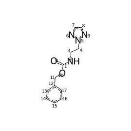 O=C(NCCn1nccn1)OCc1ccccc1